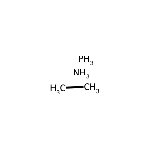 CC.N.P